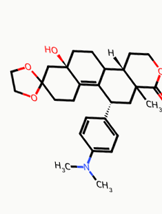 CN(C)c1ccc([C@H]2CC3(C)C(=O)OCC[C@H]3C3CC[C@@]4(O)CC5(CCC4=C32)OCCO5)cc1